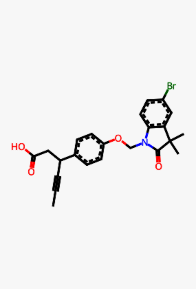 CC#CC(CC(=O)O)c1ccc(OCN2C(=O)C(C)(C)c3cc(Br)ccc32)cc1